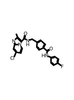 Cc1nc2cc(Cl)ccn2c1C(=O)NCc1ccc(C(=O)Nc2ccc(F)cc2)cc1